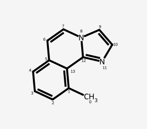 Cc1cccc2ccn3ccnc3c12